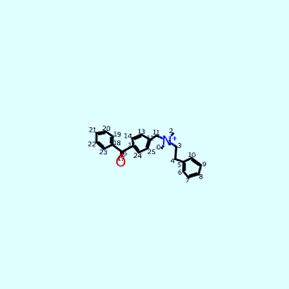 C[N+](C)(CCc1ccccc1)Cc1ccc(C(=O)c2ccccc2)cc1